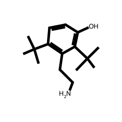 CC(C)(C)c1ccc(O)c(C(C)(C)C)c1CCN